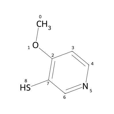 COc1ccncc1S